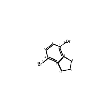 Brc1ccc(Br)c2c1CCC2